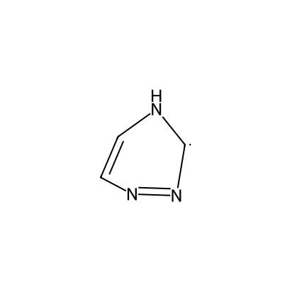 [CH]1N=NC=CN1